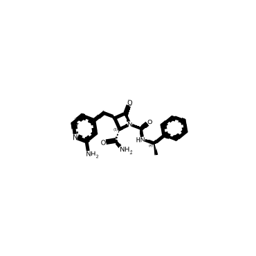 C[C@@H](NC(=O)N1C(=O)C(Cc2ccnc(N)c2)[C@H]1C(N)=O)c1ccccc1